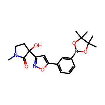 CN1CCC(O)(c2cc(-c3cccc(B4OC(C)(C)C(C)(C)O4)c3)on2)C1=O